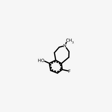 CN1CCc2c(O)ccc(F)c2CC1